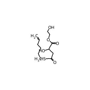 C=CCCCC.O=C(S)CC(O)C(=O)OCCO